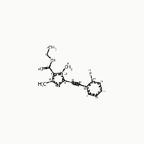 CCOC(=O)c1c(C)nc(C#Cc2ccccc2F)n1C